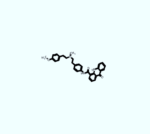 COc1ccc(CCN(C)CCc2ccc(NC(=O)c3cccc4c(=O)c5ccccc5[nH]c34)cc2)cc1